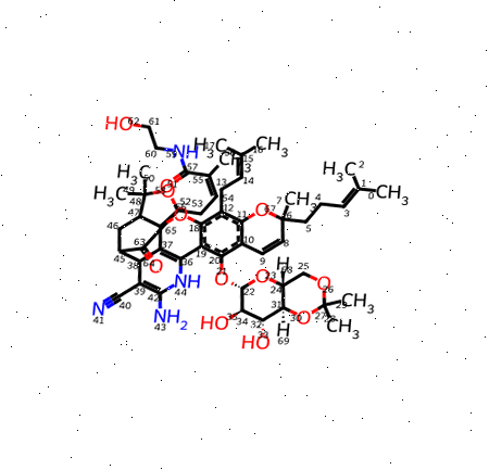 CC(C)=CCCC1(C)C=Cc2c(c(CC=C(C)C)c3c(c2O[C@@H]2O[C@@H]4COC(C)(C)O[C@H]4[C@H](O)[C@H]2O)C2=C4C(C(C#N)=C(N)N2)C2CC5C(C)(C)OC(C/C=C(/C)C(=O)NCCO)(C2=O)C45O3)O1